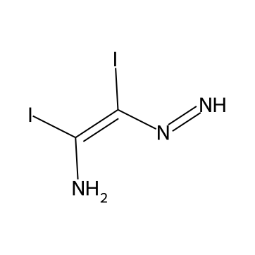 N=N/C(I)=C(\N)I